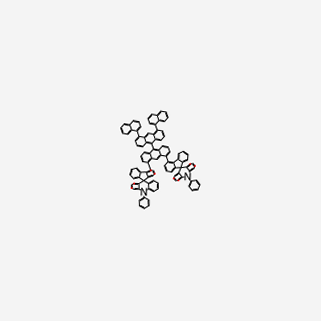 c1ccc(N2c3ccccc3C3(c4ccccc4-c4c(-c5cccc6c(-c7c8cccc(-c9cccc%10ccccc9%10)c8cc8c(-c9cccc%10ccccc9%10)cccc78)c7cccc(-c8cccc9c8-c8ccccc8C98c9ccccc9N(c9ccccc9)c9ccccc98)c7cc56)cccc43)c3ccccc32)cc1